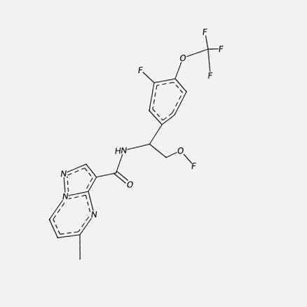 Cc1ccn2ncc(C(=O)NC(COF)c3ccc(OC(F)(F)F)c(F)c3)c2n1